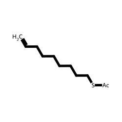 C=CCCCCCCCSC(C)=O